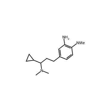 CNc1ccc(CCC(C2CC2)N(C)C)cc1N